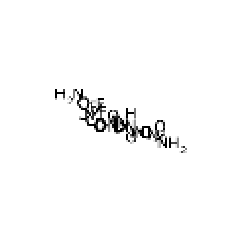 CC(Cc1ccc(-n2ccc(NC(=O)N3CCN(C(=O)C(C)(C)N)CC3)nc2=O)cc1)N(CC(F)(F)F)C1CCC(N)CC1